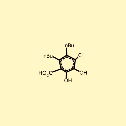 CCCCc1c(Cl)c(O)c(O)c(C(=O)O)c1CCCC